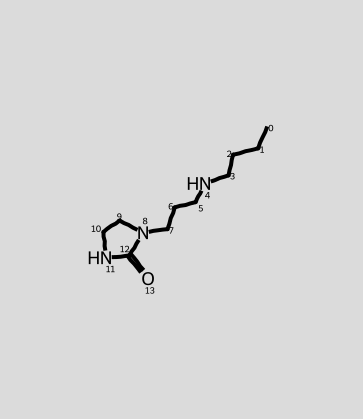 CCCCNCCCN1CCNC1=O